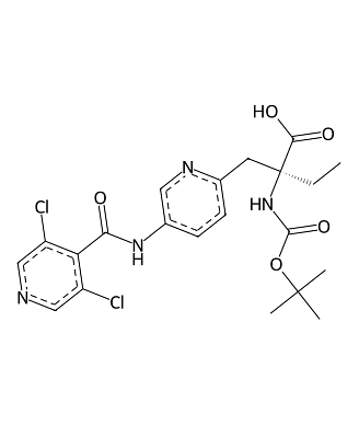 CC[C@@](Cc1ccc(NC(=O)c2c(Cl)cncc2Cl)cn1)(NC(=O)OC(C)(C)C)C(=O)O